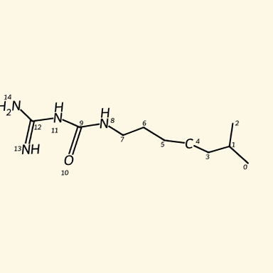 CC(C)CCCCCNC(=O)NC(=N)N